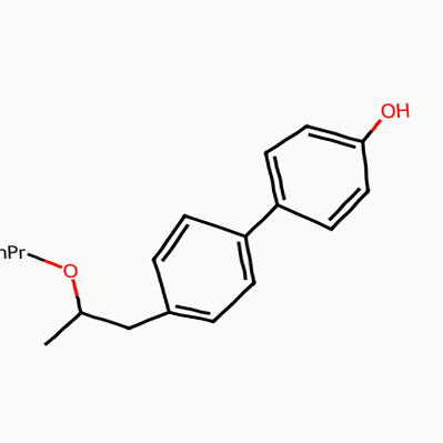 CCCOC(C)Cc1ccc(-c2ccc(O)cc2)cc1